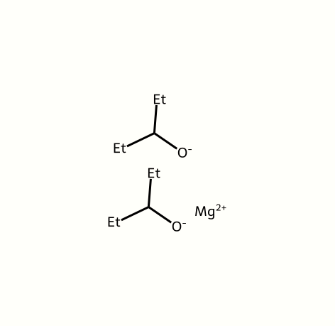 CCC([O-])CC.CCC([O-])CC.[Mg+2]